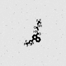 O=C(CNC(=O)c1ccc(C2=NOC(C(F)(F)F)C2)c2ccccc12)NCC(F)(F)F